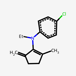 C=C1CCC(C)=C1N(CC)c1ccc(Cl)cc1